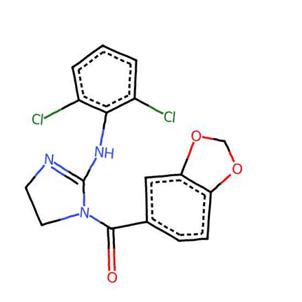 O=C(c1ccc2c(c1)OCO2)N1CCN=C1Nc1c(Cl)cccc1Cl